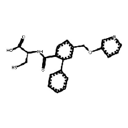 O=C(N[C@@H](CS)C(=O)O)c1ccc(COc2cccnc2)cc1-c1ccccc1